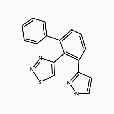 C1=CC(c2cccc(-c3ccccc3)c2-c2csnn2)=N[N]1